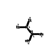 CCC[SiH](CCC)N(CC)CC